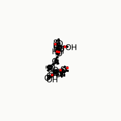 C=C1C[C@H](CC[C@@]23C[C@H]4O[C@H]5[C@@H](O2)[C@@H](O[Si](CC)(CC)CC)[C@H](CCCO)O[C@H]5[C@H]4O3)O[C@H]1CC[C@H]1C[C@@H](C)C(=C)[C@@H](C[C@@H]2O[C@H](C[C@@H](CO[Si](CC)(CC)CC)O[Si](CC)(CC)CC)[C@H](OC)[C@H]2CC(=O)CP(=O)(O)O)O1